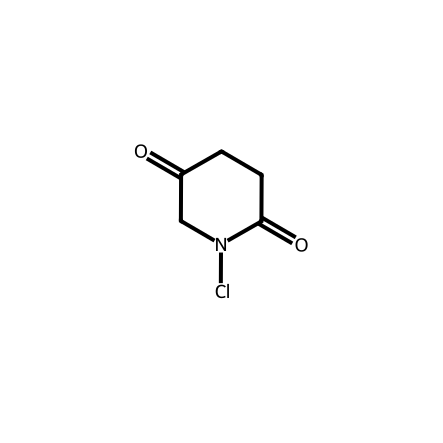 O=C1CCC(=O)N(Cl)C1